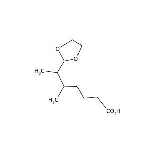 CC(CCCC(=O)O)C(C)C1OCCO1